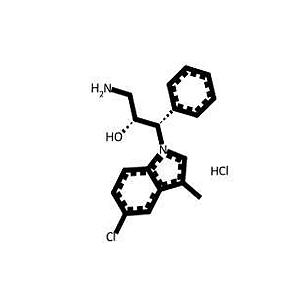 Cc1cn([C@@H](c2ccccc2)[C@H](O)CN)c2ccc(Cl)cc12.Cl